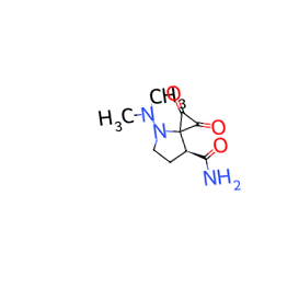 CN(C)N1CC[C@H](C(N)=O)C12C(=O)C2=O